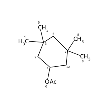 CC(=O)OC1CC(C)(C)CC(C)(C)C1